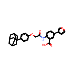 O=C(COc1ccc(C23CC4CC(CC(C4)C2)C3)cc1)Nc1ccc(-c2ccoc2)cc1C(=O)O